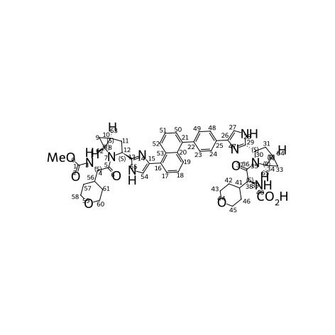 COC(=O)N[C@H](C(=O)N1[C@@H]2C[C@H]2C[C@H]1c1nc(-c2cccc3c(-c4ccc(-c5c[nH]c([C@@H]6C[C@H]7C[C@H]7N6C(=O)[C@@H](NC(=O)O)C6CCOCC6)n5)cc4)cccc23)c[nH]1)C1CCOCC1